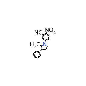 CC1C(c2ccccc2)CCN1c1ccc([N+](=O)[O-])c(C#N)c1